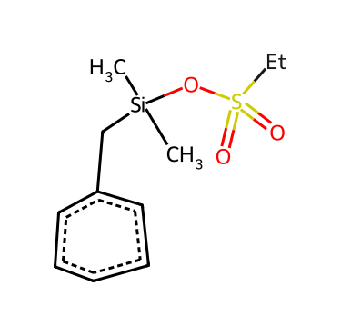 CCS(=O)(=O)O[Si](C)(C)Cc1ccccc1